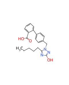 CCCCCc1nc(O)nn1Cc1ccc(-c2ccccc2C(=O)O)cc1